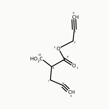 C#CCOC(=O)C(CC#C)C(=O)O